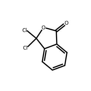 O=C1OC(Cl)(Cl)c2ccccc21